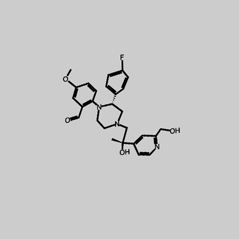 COc1ccc(N2CCN(C[C@@](C)(O)c3ccnc(CO)c3)C[C@H]2c2ccc(F)cc2)c(C=O)c1